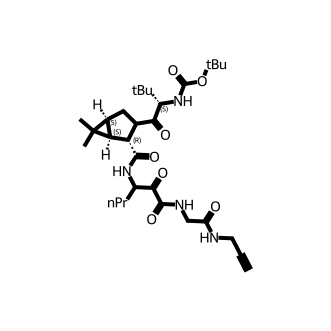 C#CCNC(=O)CNC(=O)C(=O)C(CCC)NC(=O)[C@H]1C(C(=O)[C@@H](NC(=O)OC(C)(C)C)C(C)(C)C)C[C@H]2[C@@H]1C2(C)C